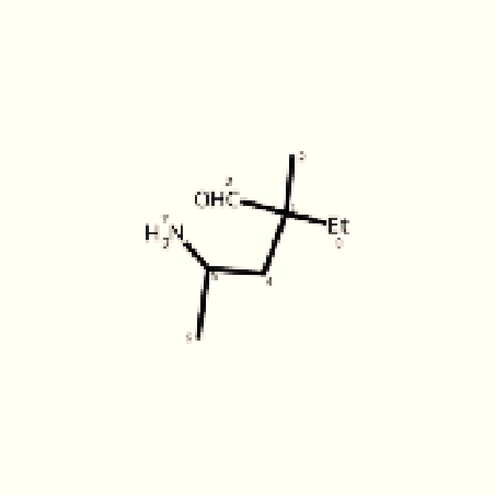 CCC(C)(C=O)CC(C)N